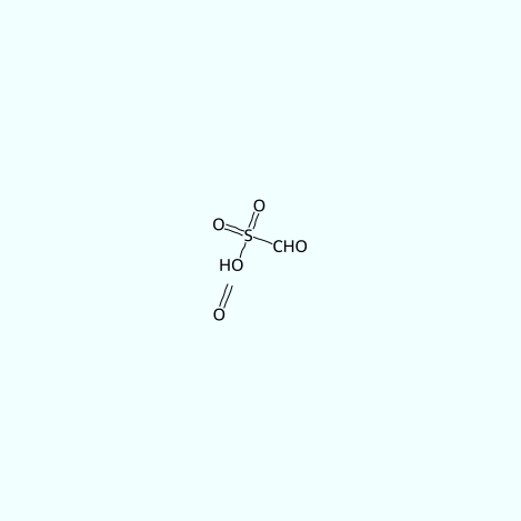 C=O.O=CS(=O)(=O)O